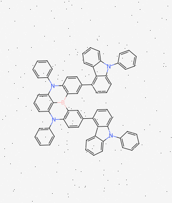 c1ccc(N2c3ccc(-c4cccc5c4c4ccccc4n5-c4ccccc4)cc3B3c4cc(-c5cccc6c5c5ccccc5n6-c5ccccc5)ccc4N(c4ccccc4)c4cccc2c43)cc1